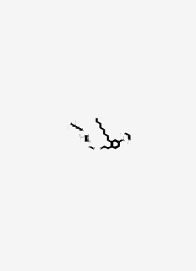 CCCCCCCCc1cc(-c2ncccn2)ccc1CCCOCC(F)(F)OC(F)(F)C(F)(F)OC(F)(F)C(F)(F)C(F)(F)C(F)(F)F